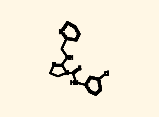 S=C(Nc1cccc(Cl)c1)N1CCN=C1NCc1ccccn1